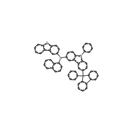 c1ccc(-n2c3ccc(N(c4ccc5sc6ccccc6c5c4)c4cccc5ccccc45)cc3c3cc(C4(c5ccccc5)c5ccccc5-c5ccccc54)ccc32)cc1